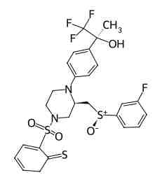 C[C@](O)(c1ccc(N2CCN(S(=O)(=O)C3=CC=CCC3=S)C[C@@H]2C[S@+]([O-])c2cccc(F)c2)cc1)C(F)(F)F